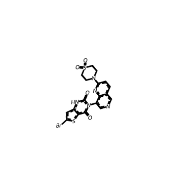 O=c1[nH]c2cc(Br)sc2c(=O)n1-c1cncc2ccc(N3CCS(=O)(=O)CC3)nc12